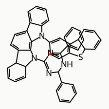 C1=CC2Sc3ccc(-n4c5ccccc5c5ccc6c(c54)N(C4=NC(c5ccccc5)NC(c5ccccc5)=N4)C4C=CC=CC64)cc3C2C=C1